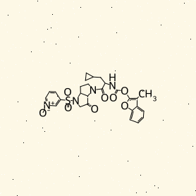 Cc1c(OC(=O)NC(CC2CC2)C(=O)N2CCC3C2C(=O)CN3S(=O)(=O)c2ccc[n+]([O-])c2)oc2ccccc12